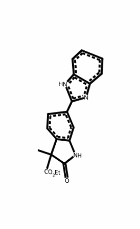 CCOC(=O)C1(C)C(=O)Nc2cc(-c3nc4ccccc4[nH]3)ccc21